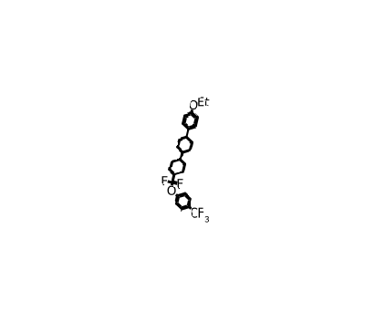 CCOc1ccc(C2CCC(C3CCC(C(F)(F)Oc4ccc(C(F)(F)F)cc4)CC3)CC2)cc1